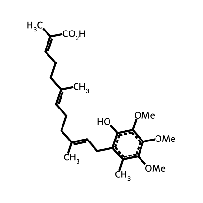 COc1c(C)c(C/C=C(\C)CC/C=C(\C)CC/C=C(/C)C(=O)O)c(O)c(OC)c1OC